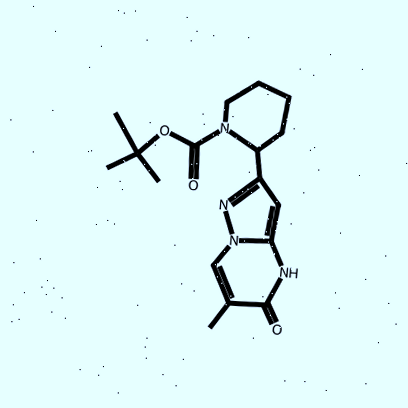 Cc1cn2nc(C3CCCCN3C(=O)OC(C)(C)C)cc2[nH]c1=O